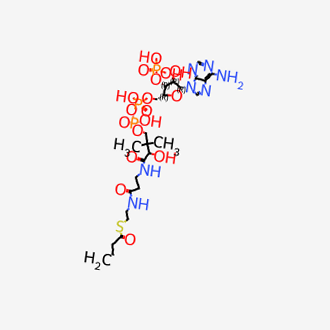 C=CCC(=O)SCCNC(=O)CCNC(=O)C(O)C(C)(C)COP(=O)(O)OP(=O)(O)OC[C@H]1O[C@@H](n2cnc3c(N)ncnc32)[C@H](O)[C@H]1OP(=O)(O)O